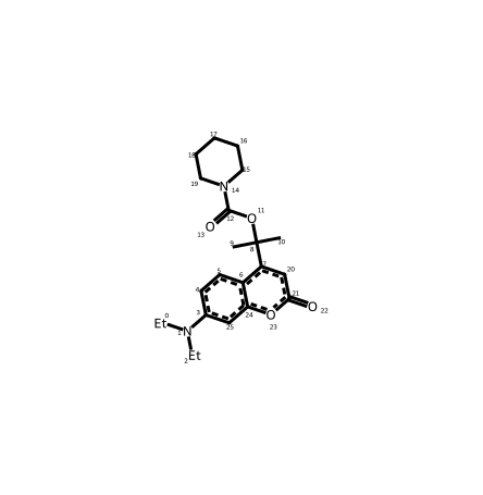 CCN(CC)c1ccc2c(C(C)(C)OC(=O)N3CCCCC3)cc(=O)oc2c1